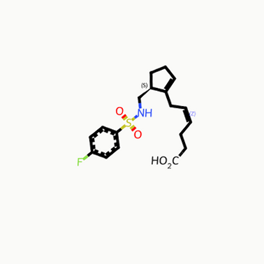 O=C(O)CC/C=C\CC1=CCC[C@@H]1CNS(=O)(=O)c1ccc(F)cc1